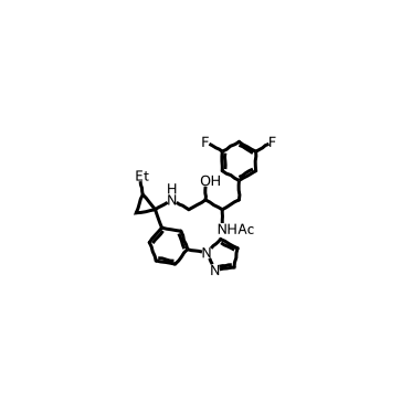 CCC1CC1(NCC(O)C(Cc1cc(F)cc(F)c1)NC(C)=O)c1cccc(-n2cccn2)c1